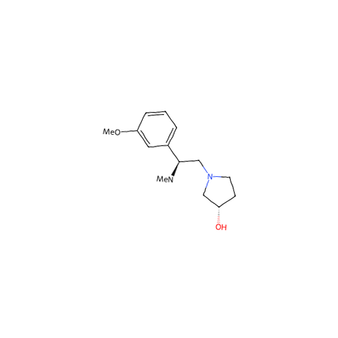 CN[C@H](CN1CC[C@H](O)C1)c1cccc(OC)c1